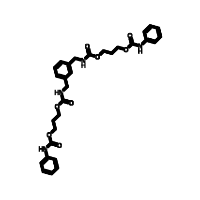 O=C(NCc1cccc(CNC(=O)OCCCOC(=O)Nc2ccccc2)c1)OCCCOC(=O)Nc1ccccc1